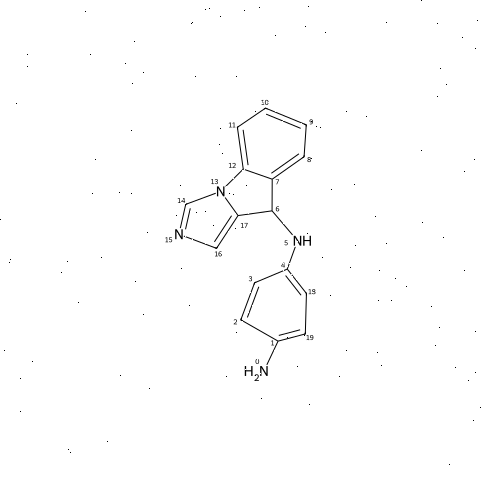 Nc1ccc(NC2c3ccccc3-n3cncc32)cc1